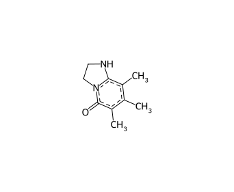 Cc1c(C)c2n(c(=O)c1C)CCN2